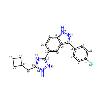 Fc1ccc(-c2n[nH]c3ccc(-c4n[nH]c(CC5CCC5)n4)cc23)cc1